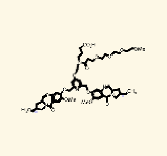 C/C=C1\CC2C=Nc3cc(OCc4cc(OCCN(CCCC(=O)O)C(=O)CCOCCOCCOCCOC)cc(COc5cc6c(cc5OC)C(=O)N5C/C(=C/C)CC5C=N6)n4)c(OC)cc3C(=O)N2C1